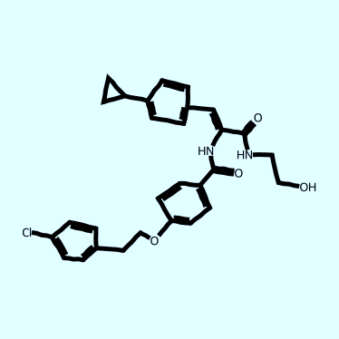 O=C(NCCO)C(=Cc1ccc(C2CC2)cc1)NC(=O)c1ccc(OCCc2ccc(Cl)cc2)cc1